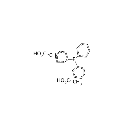 CC(=O)O.CC(=O)O.c1ccc(P(c2ccccc2)c2ccccc2)cc1